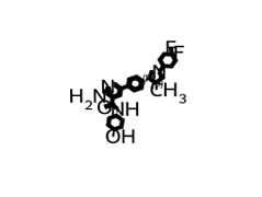 C[C@@H]1CN(C2CCC(F)(F)CC2)C[C@H]1c1ccc(-c2cnc(N)c(C(=O)N[C@H]3CC[C@H](O)CC3)c2)cc1